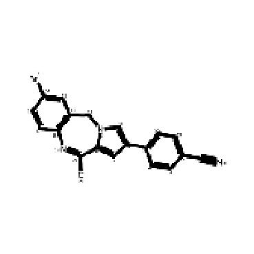 N#Cc1ccc(-c2cc3n(c2)Cc2cc(Br)ccc2N=C3Cl)cc1